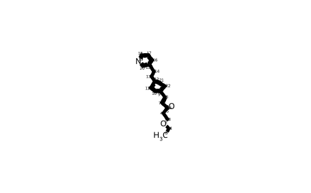 CCOCCC(=O)C=Cc1ccc(CCc2cccnc2)cc1